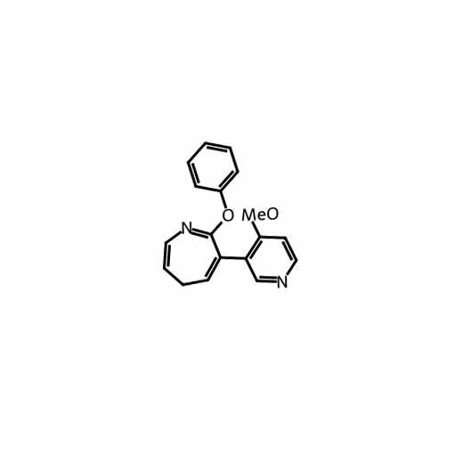 COc1ccncc1C1=CCC=CN=C1Oc1ccccc1